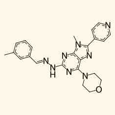 Cc1cccc(C=NNc2nc(N3CCOCC3)c3nc(-c4ccncc4)n(C)c3n2)c1